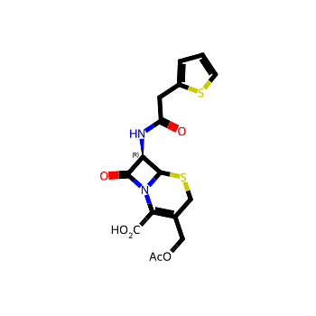 CC(=O)OCC1=C(C(=O)O)N2C(=O)[C@@H](NC(=O)Cc3cccs3)C2SC1